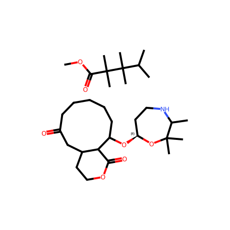 CC1NCC[C@H](OC2CCCCCC(=O)CC3CCOC(=O)C32)OC1(C)C.COC(=O)C(C)(C)C(C)(C)C(C)C